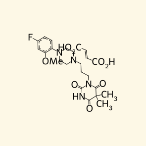 COc1cc(F)ccc1N1CCN(CCCN2C(=O)NC(=O)C(C)(C)C2=O)CC1.O=C(O)/C=C/C(=O)O